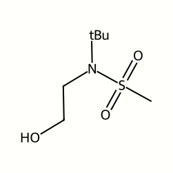 CC(C)(C)N(CCO)S(C)(=O)=O